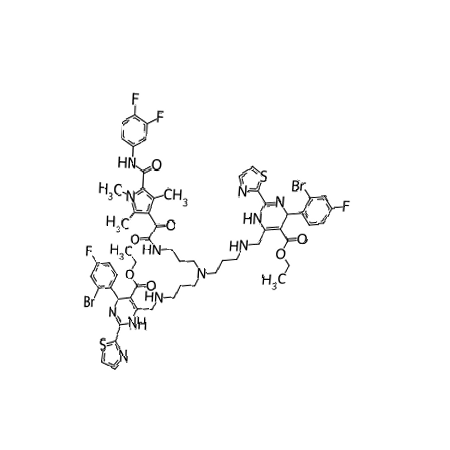 CCOC(=O)C1=C(CNCCCN(CCCNCC2=C(C(=O)OCC)C(c3ccc(F)cc3Br)N=C(c3nccs3)N2)CCCNC(=O)C(=O)c2c(C)c(C(=O)Nc3ccc(F)c(F)c3)n(C)c2C)NC(c2nccs2)=NC1c1ccc(F)cc1Br